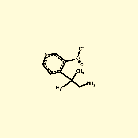 CC(C)(CN)c1ccncc1[N+](=O)[O-]